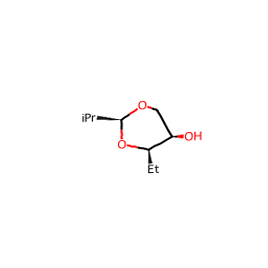 CC[C@H]1O[C@@H](C(C)C)OC[C@H]1O